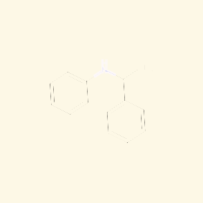 CC(Nc1ccccc1)c1ccccc1